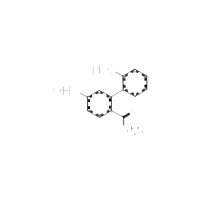 COC(=O)c1ccc(C=O)cc1-c1ccccc1C